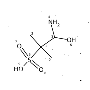 CC(C)(C(N)O)S(=O)(=O)O